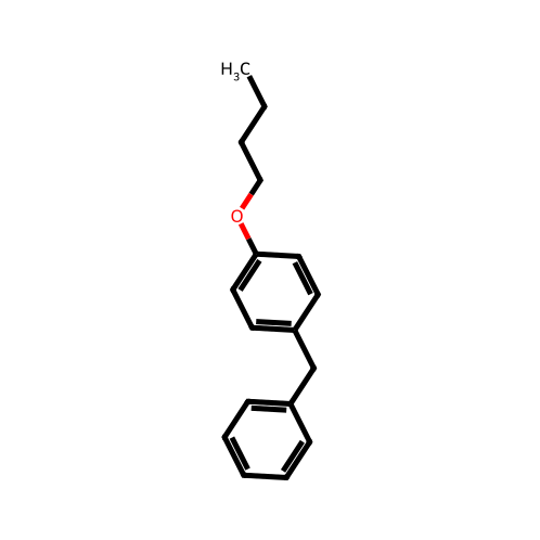 CCCCOc1ccc(Cc2ccccc2)cc1